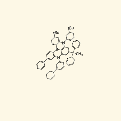 CC(C)(C)C1=CC(N2C3=CC(C(C)(C)C)CC=C3B3c4ccc(-c5ccccc5)cc4N(c4cccc(C5C=CCCC5)c4)c4cc(C(C)(c5ccccc5)C5C=CC=CC5)cc2c43)=CCC1